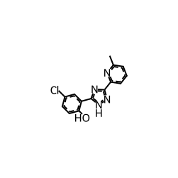 Cc1cccc(-c2n[nH]c(-c3cc(Cl)ccc3O)n2)n1